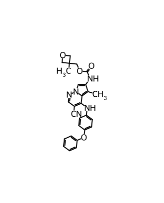 Cc1c(NC(=O)OCC2(C)COC2)cn2ncc(C#N)c(Nc3ccc(Oc4ccccc4)cc3)c12